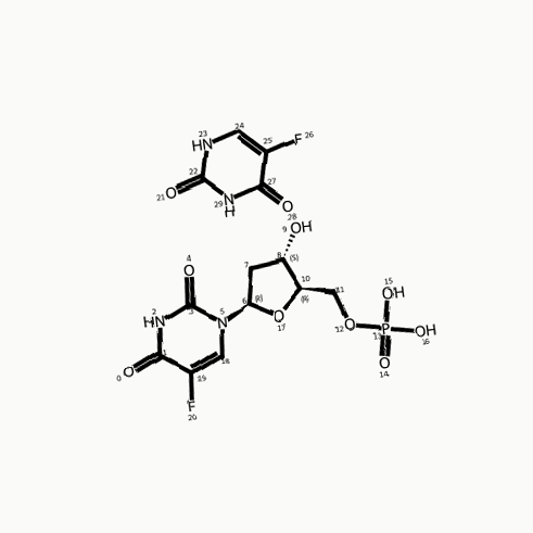 O=c1[nH]c(=O)n([C@H]2C[C@H](O)[C@@H](COP(=O)(O)O)O2)cc1F.O=c1[nH]cc(F)c(=O)[nH]1